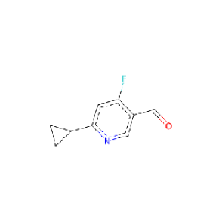 O=Cc1cnc(C2CC2)cc1F